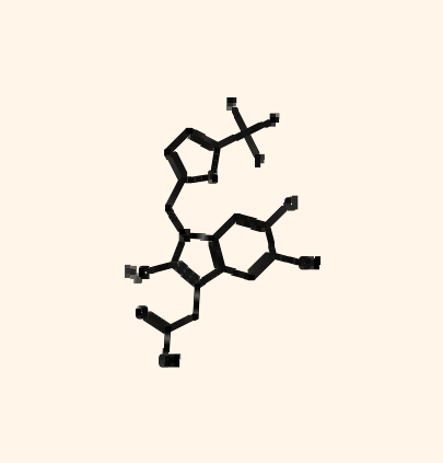 Cc1c(CC(=O)O)c2cc(O)c(Cl)cc2n1Cc1ccc(C(F)(F)F)s1